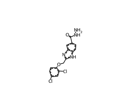 NNC(=O)c1ccc2[nH]c(COc3ccc(Cl)cc3Cl)nc2c1